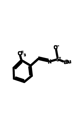 CC(C)(C)[S+]([O-])N=Cc1ccccc1C(F)(F)F